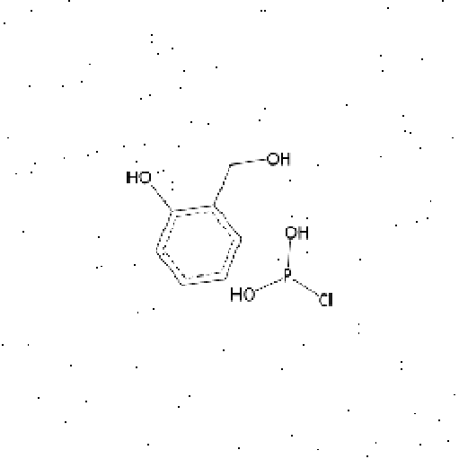 OCc1ccccc1O.OP(O)Cl